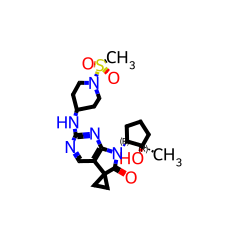 C[C@@]1(O)CCC[C@H]1N1C(=O)C2(CC2)c2cnc(NC3CCN(S(C)(=O)=O)CC3)nc21